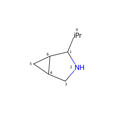 CC(C)C1NCC2CC21